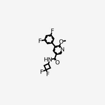 COc1ncc(C(=O)NC2CC(F)(F)C2)cc1-c1cc(F)cc(F)c1